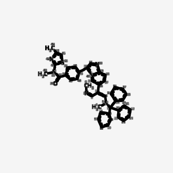 C/N=C\C(=C/N(C)C(c1ccccc1)(c1ccccc1)c1ccccc1)c1ccc2ncc(-c3ccc(C(=O)N(C)c4nc(C)cs4)cc3)n2c1